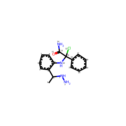 CC(NN)c1ccccc1NC(Cl)(C(N)=O)c1ccccc1